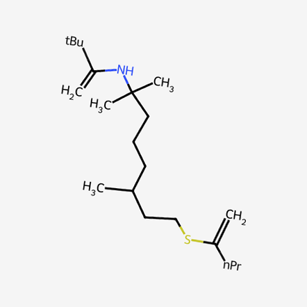 C=C(CCC)SCCC(C)CCCC(C)(C)NC(=C)C(C)(C)C